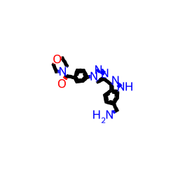 NCc1ccc2c(-c3cn(-c4ccc(C(=O)N5CCOCC5)cc4)nn3)n[nH]c2c1